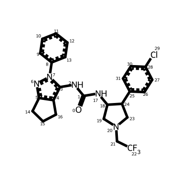 O=C(Nc1c2c(nn1-c1ccccc1)CCC2)NC1CN(CC(F)(F)F)CC1c1ccc(Cl)cc1